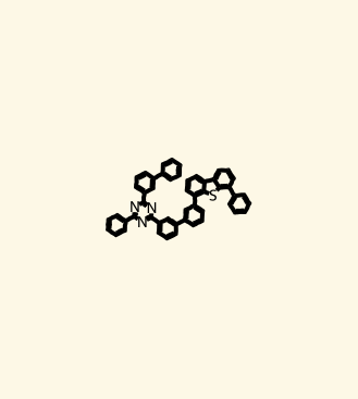 c1ccc(-c2cccc(-c3nc(-c4ccccc4)nc(-c4cccc(-c5cccc(-c6cccc7c6sc6c(-c8ccccc8)cccc67)c5)c4)n3)c2)cc1